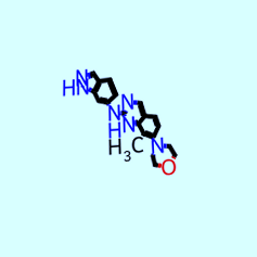 Cc1c(N2CCOCC2)ccc2cnc(Nc3ccc4cn[nH]c4c3)nc12